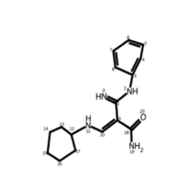 N=C(Nc1ccccc1)/C(=C\NC1CCCCC1)C(N)=O